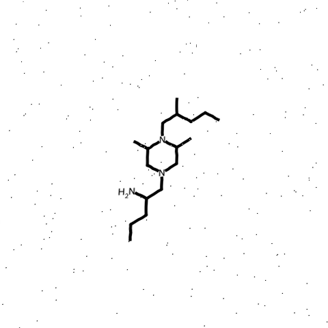 CCCC(C)CN1C(C)CN(CC(N)CCC)CC1C